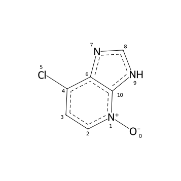 [O-][n+]1ccc(Cl)c2nc[nH]c21